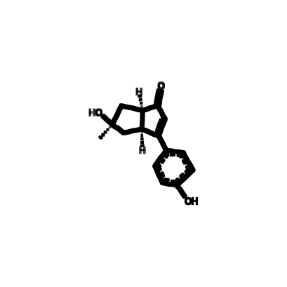 C[C@@]1(O)C[C@@H]2C(c3ccc(O)cc3)=CC(=O)[C@@H]2C1